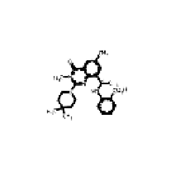 Cc1cc([C@@H](C)Nc2ccccc2C(=O)O)c2nc(N3CCC(C)(C)CC3)n(C)c(=O)c2c1